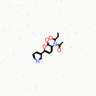 CCC(=O)N(C(C)=O)c1ccc(-c2cccnc2)oc1=O